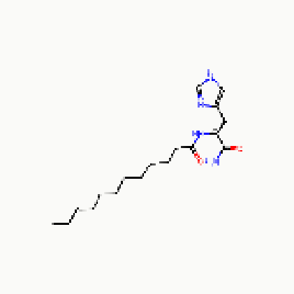 CCCCCCCCCCCC(=O)N[C@@H](Cc1c[nH]cn1)C(N)=O